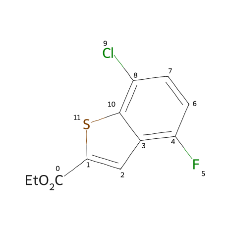 CCOC(=O)c1cc2c(F)ccc(Cl)c2s1